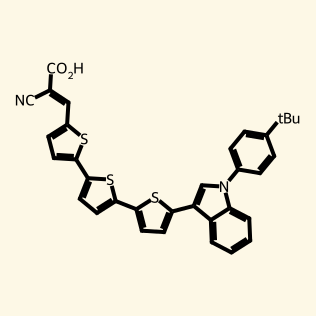 CC(C)(C)c1ccc(-n2cc(-c3ccc(-c4ccc(-c5ccc(/C=C(\C#N)C(=O)O)s5)s4)s3)c3ccccc32)cc1